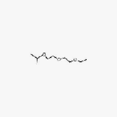 CCOCCOCCOC(C)C